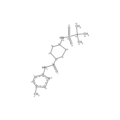 Cc1ccc(NC(=O)C2CCC(NS(=O)(=O)C(C)(C)C)CC2)nc1